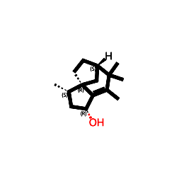 CC1=C2[C@H](O)C[C@H](C)[C@]23CC[C@@H](C3)C1(C)C